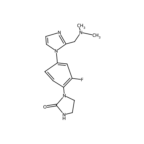 CN(C)Cc1nccn1-c1ccc(N2CCNC2=O)c(F)c1